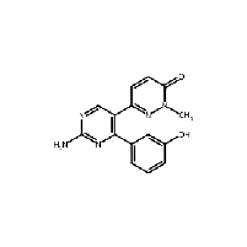 Cn1nc(-c2cnc(N)nc2-c2cccc(O)c2)ccc1=O